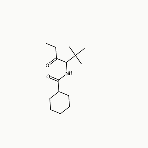 CCC(=O)C(NC(=O)C1CCCCC1)C(C)(C)C